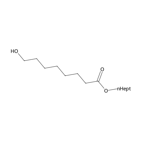 CCCCCCCOC(=O)CCCCCCCO